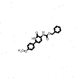 COc1ccc(-c2ccc(NC(=O)OCc3ccccc3)c(=O)[nH]2)cc1